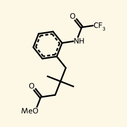 COC(=O)CC(C)(C)Cc1ccccc1NC(=O)C(F)(F)F